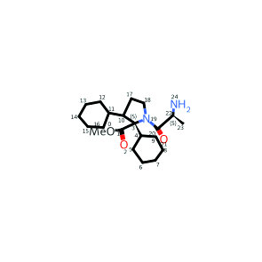 COC(=O)[C@]1(C2CCCCC2)C(C2CCCCC2)CCN1C(=O)[C@H](C)N